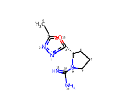 Cc1nnc([C@@H]2CCCN2C(=N)N)o1